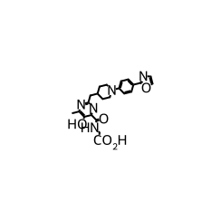 Cc1nc(CC2CCN(c3ccc(-c4ncco4)cc3)CC2)nc(C(=O)NCC(=O)O)c1O